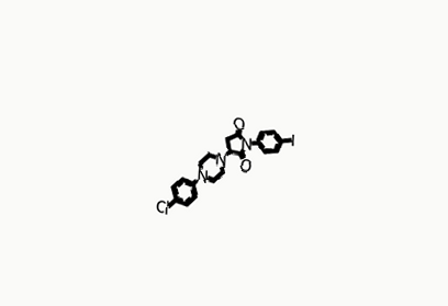 O=C1CC(N2CCN(c3ccc(Cl)cc3)CC2)C(=O)N1c1ccc(I)cc1